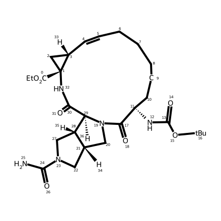 CCOC(=O)[C@@]12C[C@@H]1/C=C\CCCCC[C@H](NC(=O)OC(C)(C)C)C(=O)N1C[C@@H]3CN(C(N)=O)C[C@@H]3[C@H]1C(=O)N2